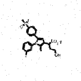 Cc1c(C(CCO)C(=O)O)cc(-c2ccc(S(C)(=O)=O)cc2)n1-c1cccc(F)c1